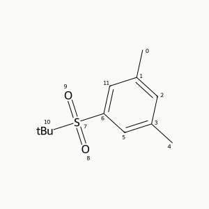 Cc1cc(C)cc(S(=O)(=O)C(C)(C)C)c1